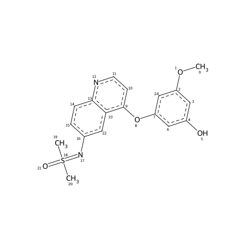 COc1cc(O)cc(Oc2ccnc3ccc(N=S(C)(C)=O)cc23)c1